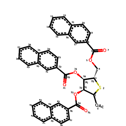 CC(=O)OC1S[C@@H](COC(=O)c2ccc3ccccc3c2)[C@H](OC(=O)c2ccc3ccccc3c2)[C@@H]1OC(=O)c1ccc2ccccc2c1